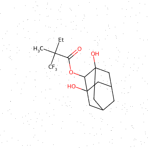 CCC(C)(C(=O)OC1C2(O)CC3CC(C2)CC1(O)C3)C(F)(F)F